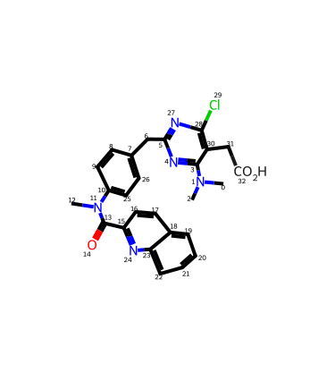 CN(C)c1nc(Cc2ccc(N(C)C(=O)c3ccc4ccccc4n3)cc2)nc(Cl)c1CC(=O)O